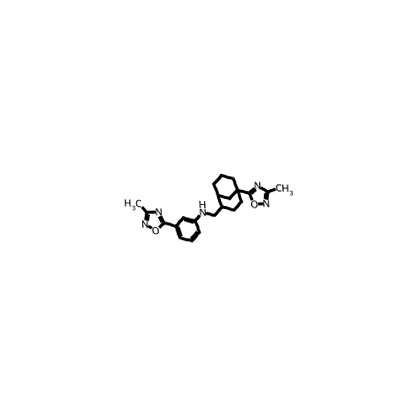 Cc1noc(-c2cccc(NCC3CCC4(c5nc(C)no5)CCCC3C4)c2)n1